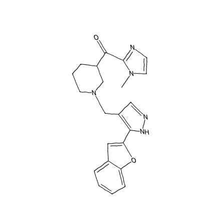 Cn1ccnc1C(=O)C1CCCN(Cc2cn[nH]c2-c2cc3ccccc3o2)C1